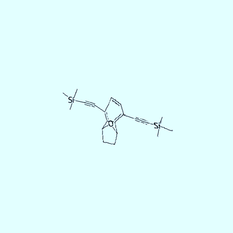 C[Si](C)(C)C#Cc1ccc(C#C[Si](C)(C)C)c2c1C1CCC2O1